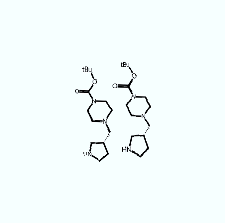 CC(C)(C)OC(=O)N1CCN(C[C@@H]2CCNC2)CC1.CC(C)(C)OC(=O)N1CCN(C[C@@H]2CCNC2)CC1